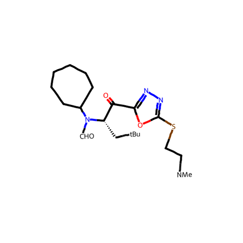 CNCCSc1nnc(C(=O)[C@H](CC(C)(C)C)N(C=O)C2CCCCCC2)o1